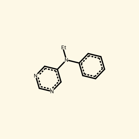 CCN(c1ccccc1)c1cncnc1